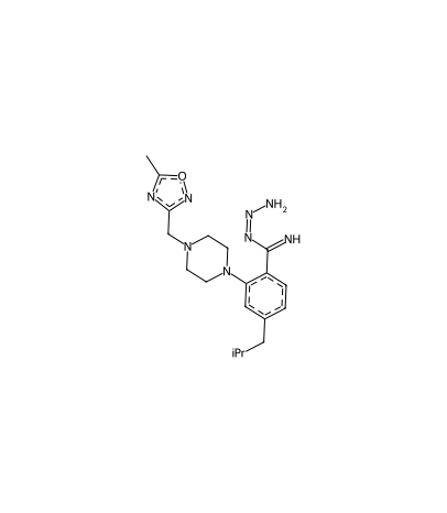 Cc1nc(CN2CCN(c3cc(CC(C)C)ccc3C(=N)/N=N\N)CC2)no1